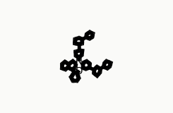 c1ccc(-c2cccc(-c3ccc(N(c4ccc(-c5cccc(-c6ccccc6)c5)cc4)c4cc5ccccc5c5c4oc4ccccc45)cc3)c2)cc1